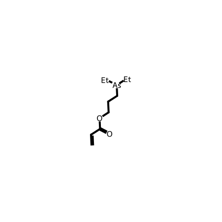 C=CC(=O)OCCC[As](CC)CC